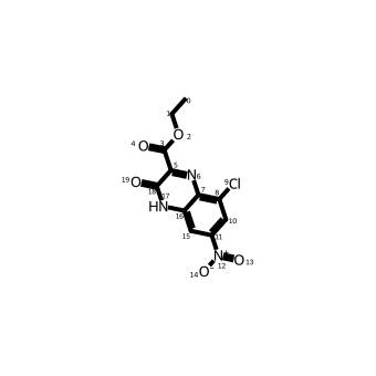 CCOC(=O)c1nc2c(Cl)cc([N+](=O)[O-])cc2[nH]c1=O